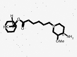 COC1CN(CCCCCC(=O)O[C@H]2CN3CCC2CC3)CC[C@H]1N